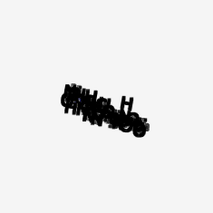 CN1CCN/C(=C\C(=N)Nc2nc3ncc(Oc4ccnc(NC(=O)O[C@@H]5CCOC5)c4)c(Cl)c3n2C)C1=O